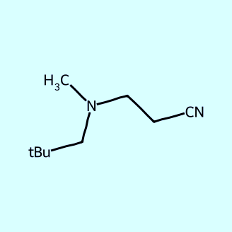 CN(CCC#N)CC(C)(C)C